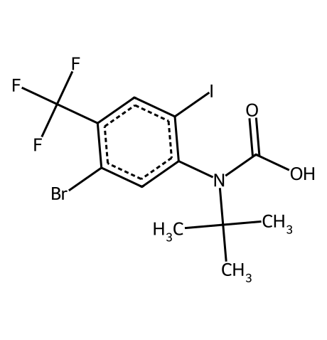 CC(C)(C)N(C(=O)O)c1cc(Br)c(C(F)(F)F)cc1I